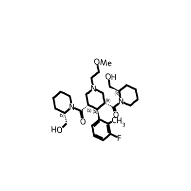 COCCN1C[C@H](C(=O)N2CCCC[C@@H]2CO)[C@@H](c2cccc(F)c2C)[C@H](C(=O)N2CCCC[C@H]2CO)C1